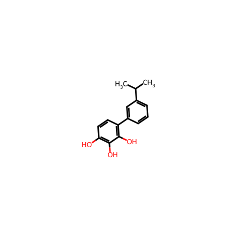 CC(C)c1cccc(-c2ccc(O)c(O)c2O)c1